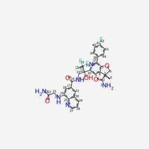 C[C@]1(C(N)=O)COc2c1cc(C(O)(CNC(=O)c1cc(NCC(N)=O)c3ncccc3c1)C(F)(F)F)nc2-c1ccc(F)cc1